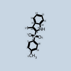 Cc1ccc(S(=O)(=O)c2[nH]c3ccccc3c2I)cc1